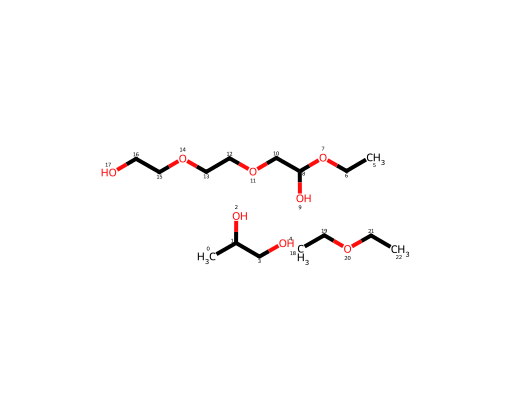 CC(O)CO.CCOC(O)COCCOCCO.CCOCC